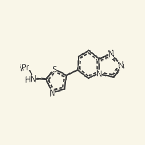 CC(C)Nc1ncc(-c2ccc3nncn3c2)s1